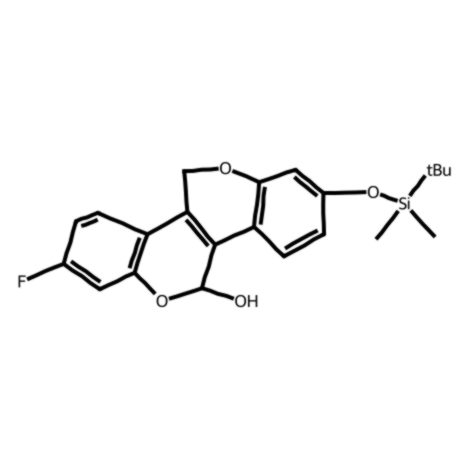 CC(C)(C)[Si](C)(C)Oc1ccc2c(c1)OCC1=C2C(O)Oc2cc(F)ccc21